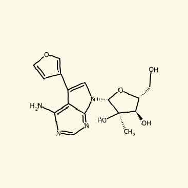 C[C@@]1(O)[C@H](O)[C@@H](CO)O[C@H]1n1cc(-c2ccoc2)c2c(N)ncnc21